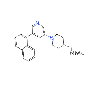 CNCC1CCN(c2cncc(-c3cccc4ccccc34)c2)CC1